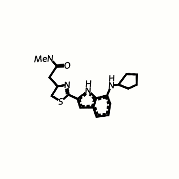 CNC(=O)CC1CSC(c2cc3cccc(NC4CCCC4)c3[nH]2)=N1